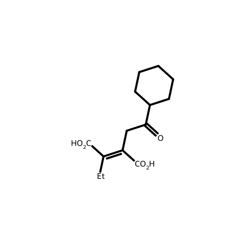 CC/C(C(=O)O)=C(/CC(=O)C1CCCCC1)C(=O)O